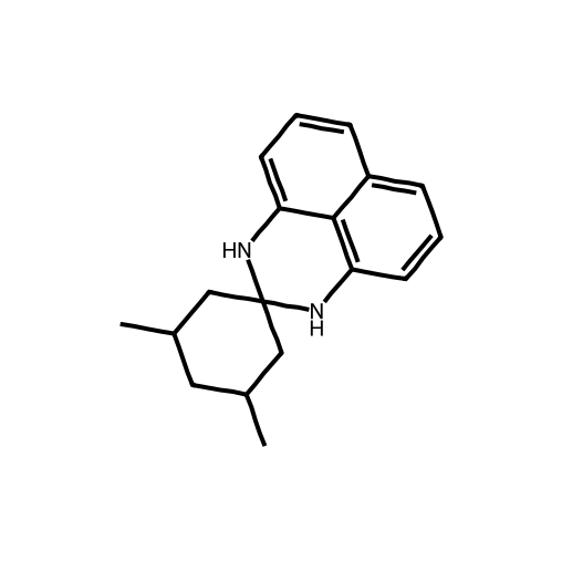 CC1CC(C)CC2(C1)Nc1cccc3cccc(c13)N2